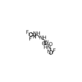 O=C(NCc1ncccc1F)c1coc(CCNCCc2nc3c(F)cc(F)cc3[nH]2)n1